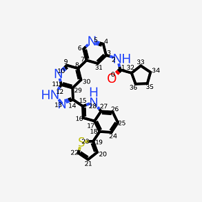 O=C(Nc1cncc(-c2cnc3[nH]nc(-c4cc5c(-c6cccs6)cccc5[nH]4)c3c2)c1)C1CCCC1